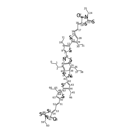 CCCc1c2nc(-c3cc(CC)c(-c4sc(/C=C/C=C5\SC(=S)N(CC)C5=O)cc4CC)s3)sc2c(CCC)c2nc(-c3cc(CC)c(-c4sc(/C=C/C=C5\SC(=S)N(CC)C5=O)cc4CC)s3)sc12